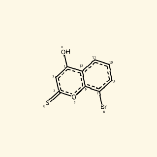 Oc1cc(=S)oc2c(Br)cccc12